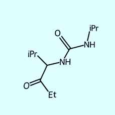 CCC(=O)C(NC(=O)NC(C)C)C(C)C